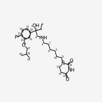 CCC(O)(CNCCCCCCN1CCC(=O)NC1=O)c1ccc(F)c(OCC(C)C)c1